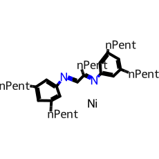 CCCCCC(/C=N/c1cc(CCCCC)cc(CCCCC)c1)=N\c1cc(CCCCC)cc(CCCCC)c1.[Ni]